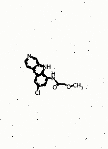 COCC(=O)Nc1cc(Cl)cc2c1[nH]c1cnccc12